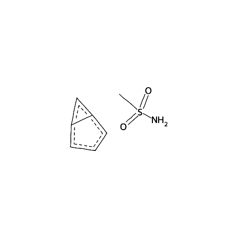 CS(N)(=O)=O.c1cc2cc-2c1